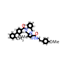 COc1ccc(CCNC(=O)c2ccc3n2Cc2ccccc2N(C(=O)c2ccc(-c4ccccc4C)c(OC)c2)C3)cc1